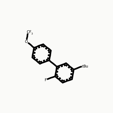 CC(C)(C)c1ccc(F)c(-c2ccc(OC(F)(F)F)cc2)c1